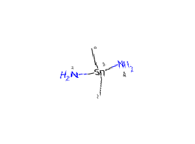 [CH3][Sn]([CH3])([NH2])[NH2]